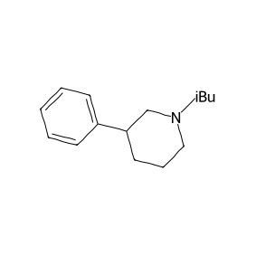 CCC(C)N1CCCC(c2ccccc2)C1